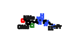 CCCN(CC)CCCn1cc(Nc2ncc(CCc3cc(C(=O)NC)cc(OC)c3Cl)cn2)cn1